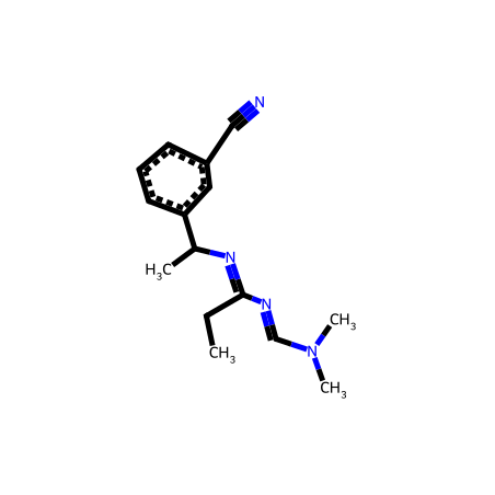 CCC(/N=C/N(C)C)=N\C(C)c1cccc(C#N)c1